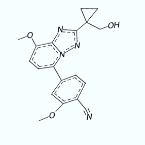 COc1cc(-c2ccc(OC)c3nc(C4(CO)CC4)nn23)ccc1C#N